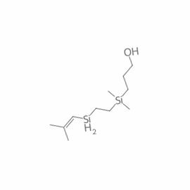 CC(C)=C[SiH2]CC[Si](C)(C)CCCO